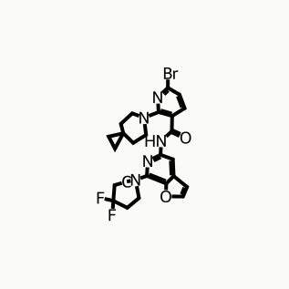 O=C(Nc1cc2ccoc2c(N2CCC(F)(F)CC2)n1)c1ccc(Br)nc1N1CCC2(CC1)CC2